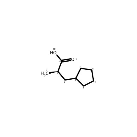 C[C@H](CC1CCCC1)C(=O)O